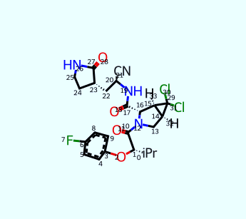 CC(C)[C@H](Oc1ccc(F)cc1)C(=O)N1C[C@H]2[C@@H]([C@H]1C(=O)N[C@H](C#N)C[C@@H]1CCNC1=O)C2(Cl)Cl